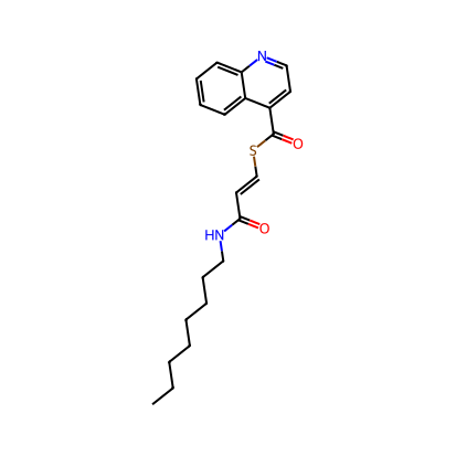 CCCCCCCCNC(=O)C=CSC(=O)c1ccnc2ccccc12